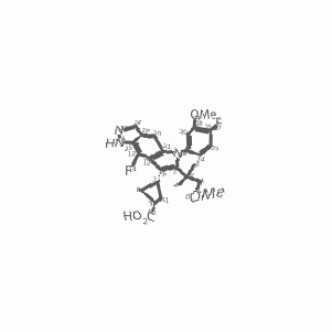 COCC(C)(C)c1c([C@H]2C[C@H](C(=O)O)C2)c2c(F)c3[nH]ncc3cc2n1-c1ccc(F)c(OC)c1